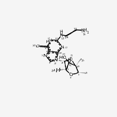 C[C@@H]1O[C@H]2[C@H](n3cnc4c(=O)[nH]c(NCCN)nc43)O[C@]1(C)[C@H]2O